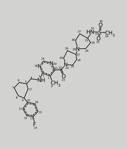 Cc1c(NCC2CCCC(c3ccc(F)cc3)C2)ncnc1C(=O)N1CCC(N2CCC(NS(C)(=O)=O)CC2)CC1